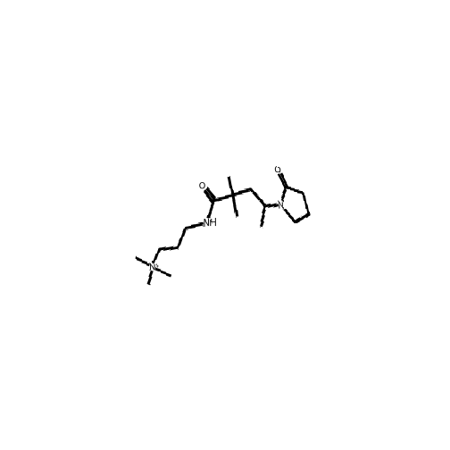 CC(CC(C)(C)C(=O)NCCC[N+](C)(C)C)N1CCCC1=O